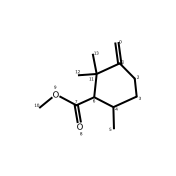 C=C1CCC(C)C(C(=O)OC)C1(C)C